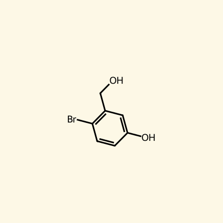 OCc1cc(O)ccc1Br